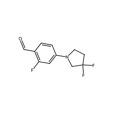 O=Cc1ccc(N2CCC(F)(F)C2)cc1F